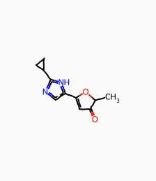 CC1OC(c2cnc(C3CC3)[nH]2)=CC1=O